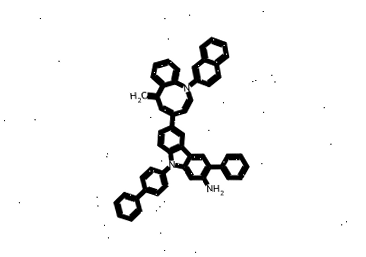 C=C1/C=C(c2ccc3c(c2)c2cc(-c4ccccc4)c(N)cc2n3-c2ccc(-c3ccccc3)cc2)\C=C/N(c2ccc3ccccc3c2)c2ccccc21